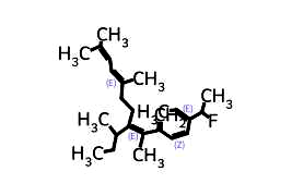 C=C(/C=C\C(=C/C)C(C)F)/C(C)=C(\CC/C(C)=C/C=C(C)C)C(C)CC